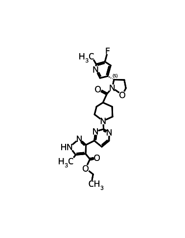 CCOC(=O)c1c(-c2ccnc(N3CCC(C(=O)N4OCC[C@H]4c4cnc(C)c(F)c4)CC3)n2)n[nH]c1C